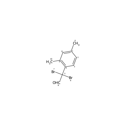 Cc1ccc(C(Br)(Br)C=O)c(C)c1